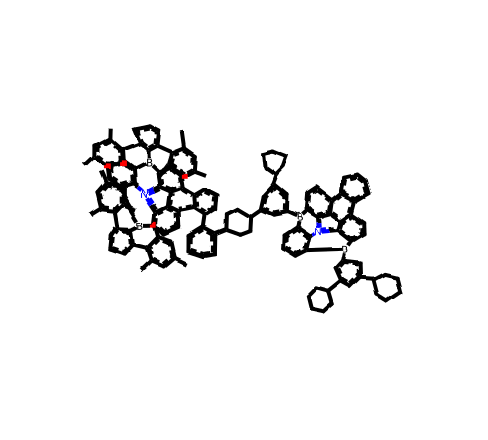 Cc1cc(C)c(-c2cccc(-c3c(C)cc(C)cc3C)c2B2c3cccc4c3-n3c5c2ccc2c6cccc(-c7ccccc7C7CCC(c8cc(B9c%10cccc%11c%10-n%10c%12c(ccc%13c%14ccccc%14c%14ccc9c%10c%14c%13%12)B%11c9cc(C%10CCCCC%10)cc(C%10CCCCC%10)c9)cc(C9CCCCC9)c8)CC7)c6c6ccc(c3c6c25)B4c2c(-c3c(C)cc(C)cc3C)cccc2-c2c(C)cc(C)cc2C)c(C)c1